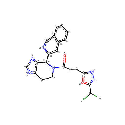 O=C(CCc1nnc(C(F)F)o1)N1CCc2[nH]cnc2[C@H]1c1cc2ccccc2cn1